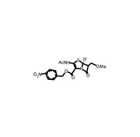 COCC1C(=O)N2C(C(=O)OCc3ccc([N+](=O)[O-])cc3)=C(NC(C)=O)S[C@@H]12